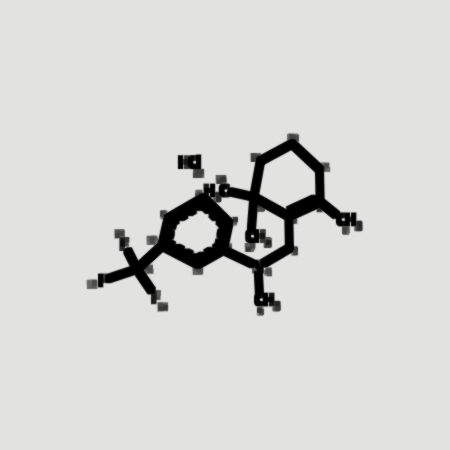 CC1=C(CN(C)c2cccc(C(F)(F)F)c2)C(C)(C)CCC1.Cl